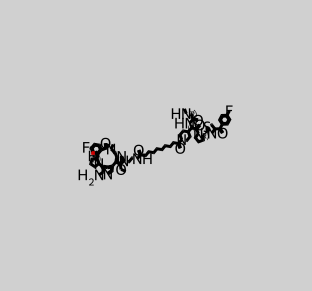 CN[C@H](C)C(=O)N[C@@H](C(=O)N1CCC[C@@H]1C1=NC(C(=O)c2ccc(F)cc2)CS1)C1CCN(C(=O)CCCCCCCCC(=O)NCCn2nc3c(c2OC)-c2cnc(N)c(c2)N2CCC[C@@H]2c2cc(F)ccc2C(=O)N(C)C3)CC1